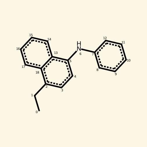 CCc1ccc(Nc2ccccc2)c2ccccc12